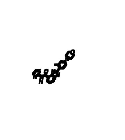 Cc1cc(N2CCOCC2)ccc1-c1nc2c(C(=O)Nc3nccs3)cccn2n1